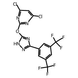 FC(F)(F)c1cc(-c2n[nH]c(Oc3nc(Cl)cc(Cl)n3)n2)cc(C(F)(F)F)c1